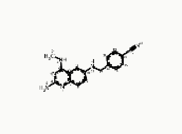 CNc1nc(N)nc2ccc(NCc3ccc(C#N)cc3)cc12